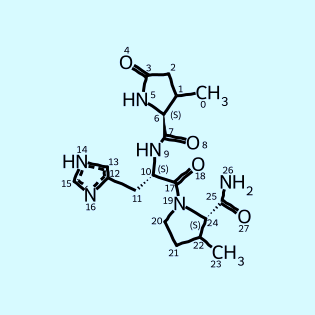 CC1CC(=O)N[C@@H]1C(=O)N[C@@H](Cc1c[nH]cn1)C(=O)N1CCC(C)[C@H]1C(N)=O